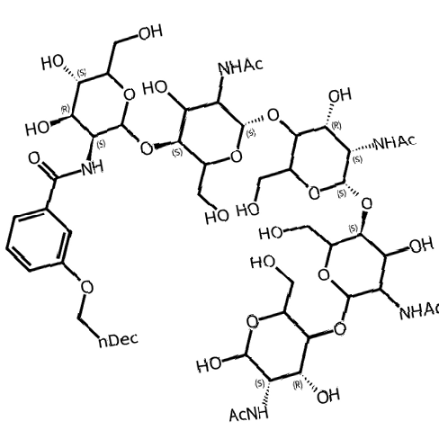 CCCCCCCCCCCOc1cccc(C(=O)N[C@@H]2C(O[C@@H]3C(CO)O[C@@H](OC4C(CO)O[C@@H](O[C@@H]5C(CO)OC(OC6C(CO)OC(O)[C@@H](NC(C)=O)[C@H]6O)C(NC(C)=O)C5O)[C@@H](NC(C)=O)[C@H]4O)C(NC(C)=O)C3O)OC(CO)[C@@H](O)[C@@H]2O)c1